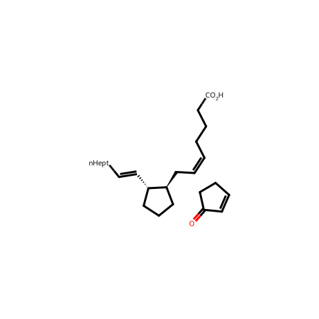 CCCCCCC/C=C/[C@H]1CCC[C@@H]1C/C=C\CCCC(=O)O.O=C1C=CCC1